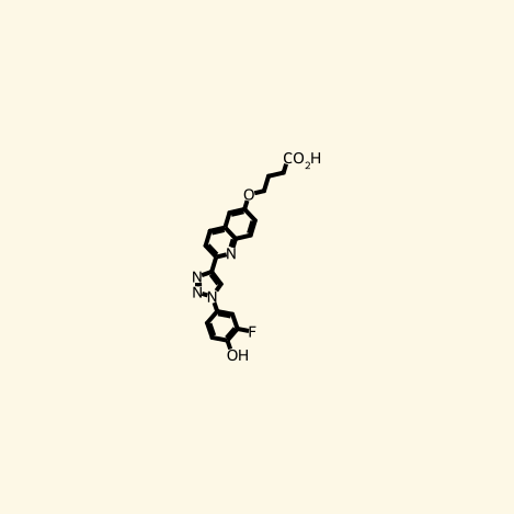 O=C(O)CCCOc1ccc2nc(-c3cn(-c4ccc(O)c(F)c4)nn3)ccc2c1